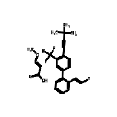 CC(C)(C)C#Cc1ccc(-c2ccccc2C=CF)cc1C(F)(F)F.COC=CC(=O)O